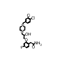 NC(=O)Cc1ccc(F)cc1OCC(O)CN1CCN(Cc2ccc(Cl)c(Cl)c2)CC1